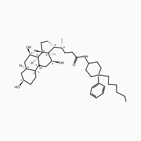 CCCCCC[N+]1(c2ccccc2)CCC(NC(=O)CC[C@@H](C)[C@H]2CC[C@H]3[C@@H]4[C@H](O)C[C@@H]5C[C@H](O)CC[C@]5(C)[C@H]4C[C@H](O)[C@]23C)CC1